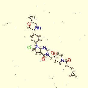 C[C@H]1CN[C@H](c2ccc(-n3c(Cl)cc4c(=O)n(CC5(O)CCN(C(=O)CCC6CC6)CC5)cnc43)cc2)CO1